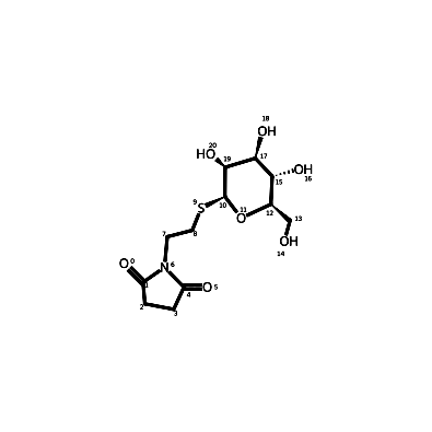 O=C1CCC(=O)N1CCS[C@@H]1O[C@H](CO)[C@@H](O)[C@H](O)[C@@H]1O